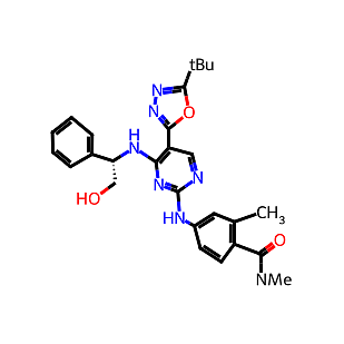 CNC(=O)c1ccc(Nc2ncc(-c3nnc(C(C)(C)C)o3)c(N[C@H](CO)c3ccccc3)n2)cc1C